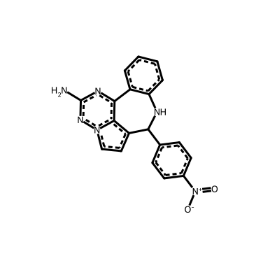 Nc1nc2c3c(ccn3n1)C(c1ccc([N+](=O)[O-])cc1)Nc1ccccc1-2